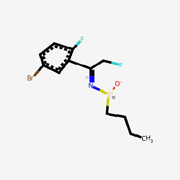 CCCC[S@@+]([O-])/N=C(\CF)c1cc(Br)ccc1F